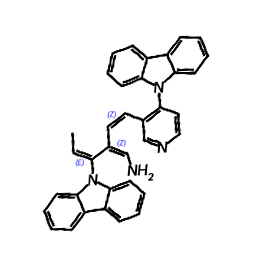 C\C=C(C(/C=C\c1cnccc1-n1c2ccccc2c2ccccc21)=C\N)\n1c2ccccc2c2ccccc21